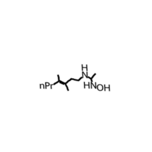 CCC/C(C)=C(\C)CCNC(C)NO